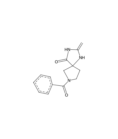 C=C1NC(=O)C2(CCN(C(=O)c3ccccc3)C2)N1